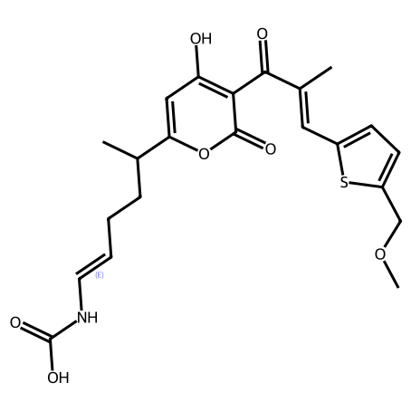 COCc1ccc(C=C(C)C(=O)c2c(O)cc(C(C)CC/C=C/NC(=O)O)oc2=O)s1